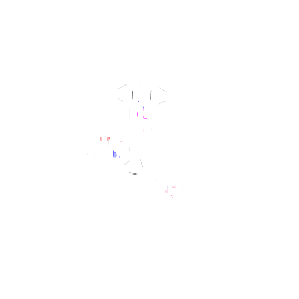 CCCCOP(=O)(CC(=O)Oc1ccc2c3c1OC1C(OC(=O)Cc4ccccc4Nc4c(Cl)cccc4Cl)CC[C@@]4(O)[C@@H](C2)N(CC2CC2)CC[C@]314)OCCCC